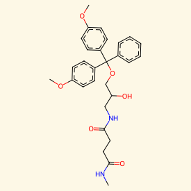 CNC(=O)CCC(=O)NCC(O)COC(c1ccccc1)(c1ccc(OC)cc1)c1ccc(OC)cc1